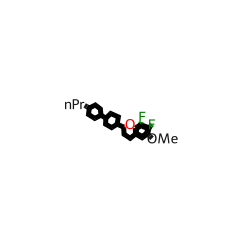 CCCC1CCC(C2CCC(C3CCc4cc(OC)c(F)c(F)c4O3)CC2)CC1